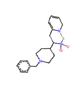 [O-][N+]1([O-])SN2CC=CC=C2CC1C1CCN(Cc2ccccc2)CC1